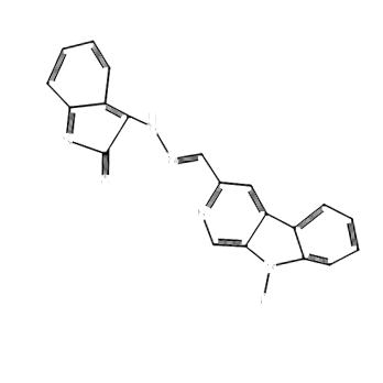 CCn1c2ccccc2c2cc(/C=N/NC3=c4ccccc4=NC3=O)ncc21